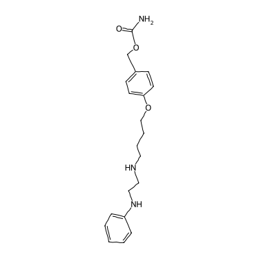 NC(=O)OCc1ccc(OCCCCNCCNc2ccccc2)cc1